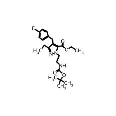 CCOC(=O)c1c(Cc2ccc(F)cc2)c(CC)nn1CCNC(=O)OC(C)(C)C